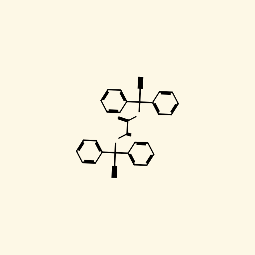 C#CC(OC(=O)C(=O)OC(C#C)(c1ccccc1)c1ccccc1)(c1ccccc1)c1ccccc1